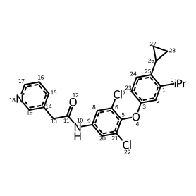 CC(C)c1cc(Oc2c(Cl)cc(NC(=O)Cc3cccnc3)cc2Cl)ccc1C1CC1